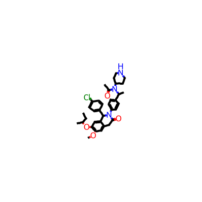 CCC(C)Oc1cc2c(cc1OC)CC(=O)N(c1ccc(C(C)N(C(C)=O)C3CCNCC3)cc1)C2c1ccc(Cl)cc1